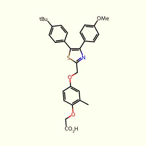 COc1ccc(-c2nc(COc3ccc(OCC(=O)O)c(C)c3)sc2-c2ccc(C(C)(C)C)cc2)cc1